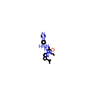 C=CCn1c(=O)c2cnc(Nc3ccc(N4CCN(C)CC4)cc3)nc2n1-c1ccc2c(n1)C(C1CC1C)CC2